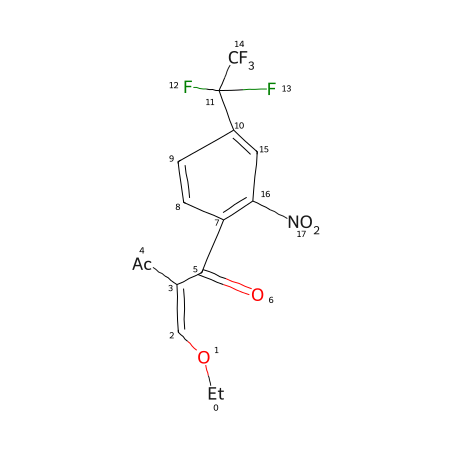 CCO/C=C(/C(C)=O)C(=O)c1ccc(C(F)(F)C(F)(F)F)cc1[N+](=O)[O-]